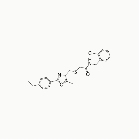 CCc1ccc(-c2nc(CSCC(=O)NCc3ccccc3Cl)c(C)o2)cc1